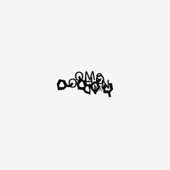 COc1cc2c(cc1OCc1ccccc1)CCN1C[C@@H](c3cc(C)ccn3)C(=O)C[C@H]21